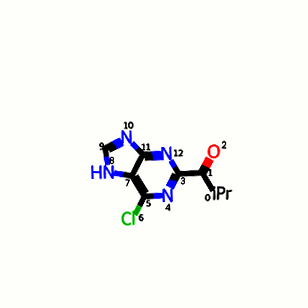 CC(C)C(=O)c1nc(Cl)c2[nH]cnc2n1